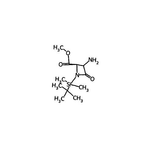 COC(=O)C1C(N)C(=O)N1[Si](C)(C)C(C)(C)C